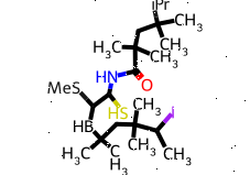 CSC(BC(C)(C)CC(C)(C)C(C)I)C(S)NC(=O)C(C)(C)CC(C)(C)C(C)C